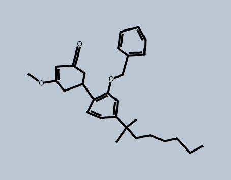 CCCCCCC(C)(C)c1ccc(C2CC(=O)C=C(OC)C2)c(OCc2ccccc2)c1